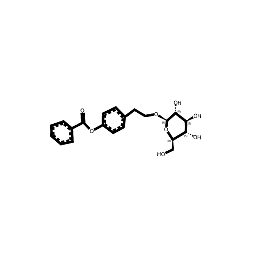 O=C(Oc1ccc(CCO[C@@H]2O[C@H](CO)[C@@H](O)[C@H](O)[C@H]2O)cc1)c1ccccc1